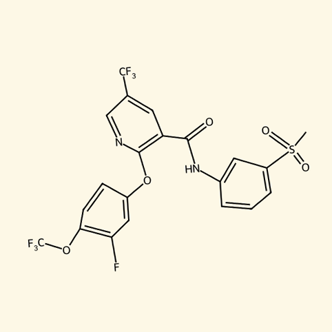 CS(=O)(=O)c1cccc(NC(=O)c2cc(C(F)(F)F)cnc2Oc2ccc(OC(F)(F)F)c(F)c2)c1